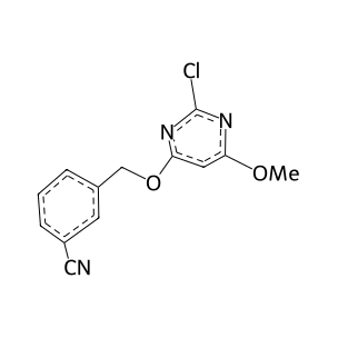 COc1cc(OCc2cccc(C#N)c2)nc(Cl)n1